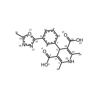 CC1=C(C(=O)O)C(c2cccc(-c3nnc(C)o3)c2)C(C(=O)O)=C(C)N1